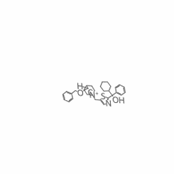 OC(c1ccccc1)(c1ncc(C[N+]23CCC(CC2)[C@@H](OCc2ccccc2)C3)s1)C1CCCCC1